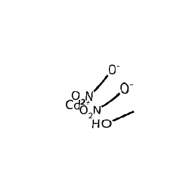 CO.O=[N+]([O-])[O-].O=[N+]([O-])[O-].[Cd+2]